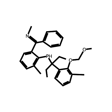 CCC(CC)(Pc1c(C)cccc1/C(=N/C)c1ccccc1)c1cccc(C)c1OCOC